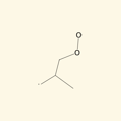 [CH2]C(C)CO[O]